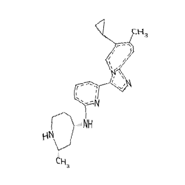 Cc1cc2ncc(-c3cccc(N[C@H]4CCN[C@@H](C)C4)n3)n2cc1C1CC1